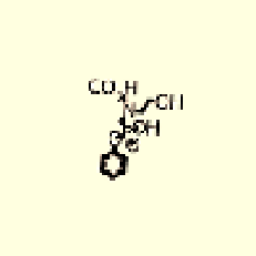 O=C(O)CN(CCO)CP(=O)(O)Oc1ccccc1